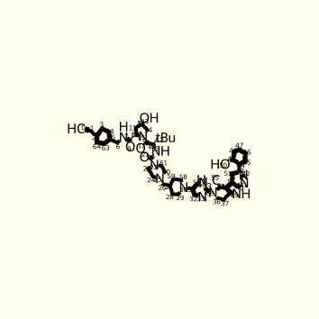 C#Cc1ccc(CNC(=O)[C@@H]2C[C@@H](O)CN2C(=O)[C@@H](NC(=O)N2CCN(CC3CCN(c4cnc(N5CCc6[nH]c7nnc(-c8ccccc8O)cc7c6[C@@H]5C)nc4)CC3)CC2)C(C)(C)C)cc1